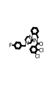 O=C(NCc1ccccc1N1CCN(Cc2ccc(F)cc2)CC1)c1cccc(Cl)c1Cl